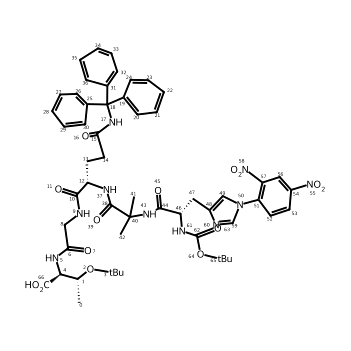 C[C@@H](OC(C)(C)C)[C@H](NC(=O)CNC(=O)[C@H](CCC(=O)NC(c1ccccc1)(c1ccccc1)c1ccccc1)NC(=O)C(C)(C)NC(=O)[C@H](Cc1cn(-c2ccc([N+](=O)[O-])cc2[N+](=O)[O-])cn1)NC(=O)OC(C)(C)C)C(=O)O